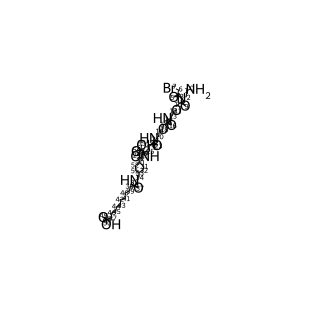 NCCN(C(=O)CBr)C(=O)COCCNC(=O)COCCNC(=O)CCC(NC(=O)C1CCC(CNC(=O)CCCCCCCCCCC(=O)O)CC1)C(=O)O